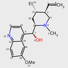 C=C[C@H]1CN(C)[C@@H]([C@@H](O)c2ccnc3ccc(OC)cc23)C[C@@H]1CC